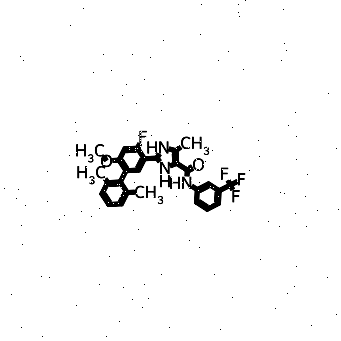 COc1cc(F)c(C2NC(C)=C(C(=O)Nc3cccc(C(F)(F)F)c3)N2)cc1-c1c(C)cccc1C